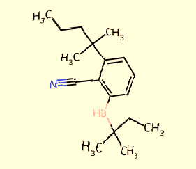 CCCC(C)(C)c1cccc(BC(C)(C)CC)c1C#N